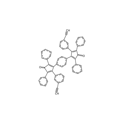 C#Cc1cccc(C2=C(c3ccccc3)C(=O)C(c3ccccc3)=C2c2ccc(C3=C(c4ccccc4)C(=O)C(c4ccccc4)=C3c3cccc(C#C)c3)cc2)c1